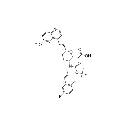 COc1ccc2nccc(C=C[C@@H]3CC[C@@H](N(C/C=C/c4cc(F)ccc4F)C(=O)OC(C)(C)C)[C@@H](CC(=O)O)O3)c2n1